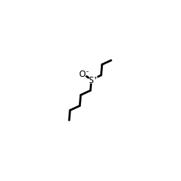 CCCCC[S+]([O-])CCC